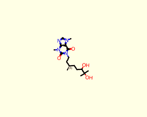 C[C@H](CCC(O)C(C)(C)O)CCn1c(=O)c2c(ncn2C)n(C)c1=O